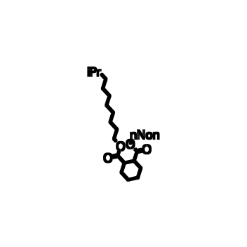 CCCCCCCCCOC(=O)C1CCCCC1C(=O)OCCCCCCCCC(C)C